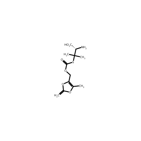 C=C1OC(C)=C(COC(=O)SC(C)(C)[C@@H](N)C(=O)O)O1